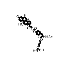 CC(=O)NC(Cc1ccc(OC(=O)OCC(=O)C2CCC3[C@@H]4CC(F)C5=CC(=O)C=C[C@]5(C)C4[C@@H](O)C[C@]23C)cc1)C(=O)OCCCCON(O)O